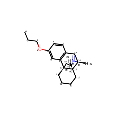 CCCOc1ccc2c(c1)[C@@]13CCCC[C@H]1[C@@H](C2)NCC3